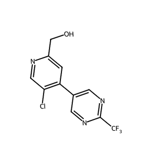 OCc1cc(-c2cnc(C(F)(F)F)nc2)c(Cl)cn1